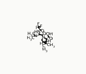 CN(C)C[C@H](NC(=O)C(F)(F)F)C(=O)N1C[C@H]2[C@@H]([C@H]1C(=O)O)C2(C)C